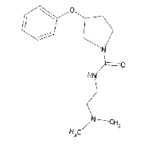 CN(C)CCNC(=O)N1CCC(Oc2ccccc2)C1